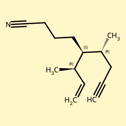 C#CC[C@@H](C)[C@H](CCCC#N)[C@H](C)C=C